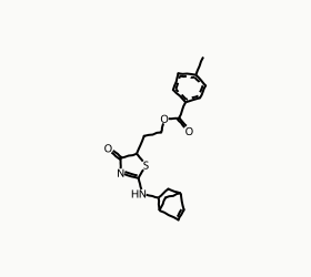 Cc1ccc(C(=O)OCCC2SC(NC3CC4C=CC3C4)=NC2=O)cc1